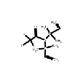 C=C[Si](C)(C)N(C(=O)C(F)(F)F)[Si](C)(C)C=C